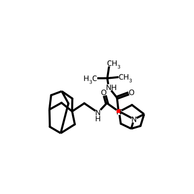 CC(C)(C)NC(=O)CN1C2CC1CN(C(=O)NCC13CC4CC(CC(C4)C1)C3)C2